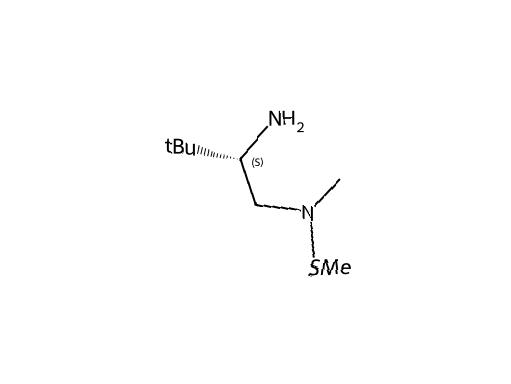 CSN(C)C[C@@H](N)C(C)(C)C